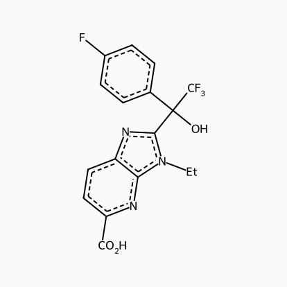 CCn1c(C(O)(c2ccc(F)cc2)C(F)(F)F)nc2ccc(C(=O)O)nc21